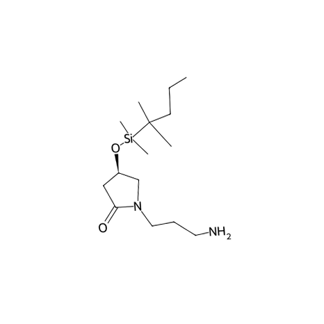 CCCC(C)(C)[Si](C)(C)O[C@@H]1CC(=O)N(CCCN)C1